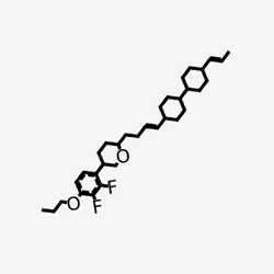 C/C=C/C1CCC(C2CCC(/C=C/CCC3CCC(c4ccc(OCCC)c(F)c4F)CO3)CC2)CC1